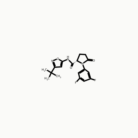 CC(C)(C)c1cc(NC(=O)[C@@H]2CCC(=O)N2c2cc(F)cc(F)c2)on1